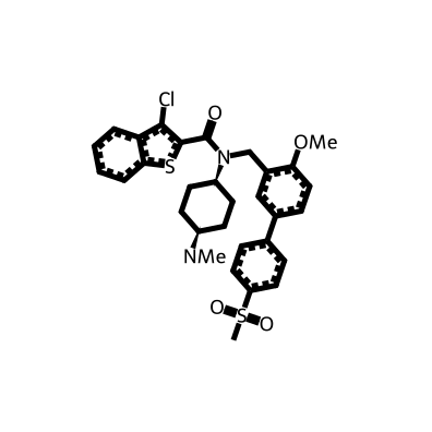 CN[C@H]1CC[C@@H](N(Cc2cc(-c3ccc(S(C)(=O)=O)cc3)ccc2OC)C(=O)c2sc3ccccc3c2Cl)CC1